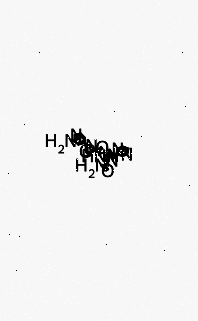 NC(=O)c1nn(-c2cnccn2)cc1NC(=O)c1coc(-c2ccnc(N)c2)n1